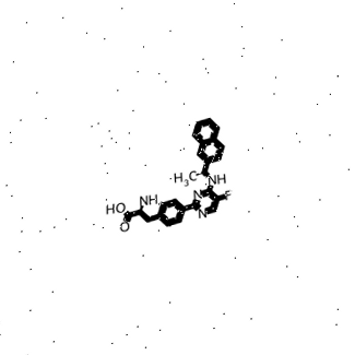 C[C@@H](Nc1nc(-c2ccc(C[C@H](N)C(=O)O)cc2)ncc1F)c1ccc2ccccc2c1